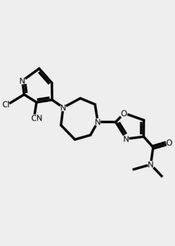 CN(C)C(=O)c1coc(N2CCCN(c3ccnc(Cl)c3C#N)CC2)n1